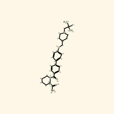 CC(C)(F)CN1CCC(COc2ccc(-c3ccc(C(=O)N4CCCC[C@@H]4C(N)=O)cc3)cc2)CC1